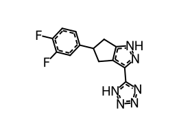 Fc1ccc(C2Cc3[nH]nc(-c4nnn[nH]4)c3C2)cc1F